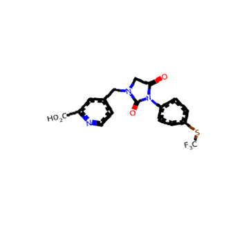 O=C(O)c1cc(CN2CC(=O)N(c3ccc(SC(F)(F)F)cc3)C2=O)ccn1